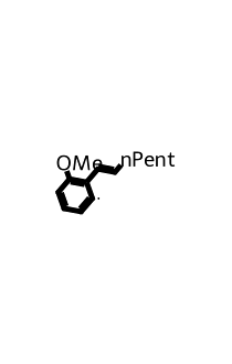 CCCCC/C=C/c1[c]cccc1OC